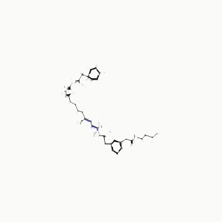 CCCCNC(=O)Cc1cccc(CC(=O)N/C(N)=C/C=C(\N)CCCCc2nnc(NC(O)Cc3ccccc3)s2)c1